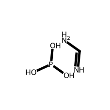 N=CN.OP(O)O